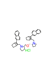 Cl.c1ccc2cc(C3=C(CN4CCC[C@@H]4COC[C@H]4CCCN4CC4=C(c5ccc6ccccc6c5)C5CCC4C5)C4CCC3C4)ccc2c1